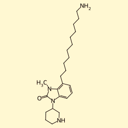 Cn1c(=O)n(C2CCCNC2)c2cccc(CCCCCCCCCCCN)c21